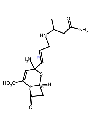 CC(CC(N)=O)NC/C=C/C1(N)C=C(C(=O)O)N2C(=O)C[C@H]2S1